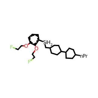 CCCC1CCC(C2CCC(C[SiH2]c3cccc(OCCF)c3OCCF)CC2)CC1